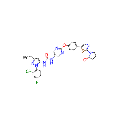 CC(C)Cc1cc(NC(=O)Nc2cnc(Oc3ccc(-c4cnc(N5CCCC5=O)s4)cc3)nc2)n(-c2ccc(F)cc2Cl)n1